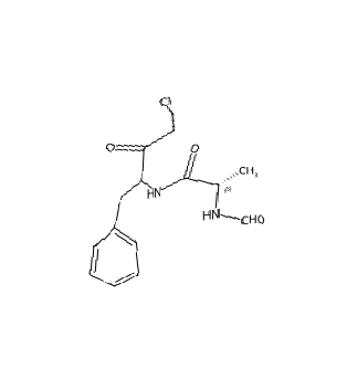 C[C@H](NC=O)C(=O)NC(Cc1ccccc1)C(=O)CCl